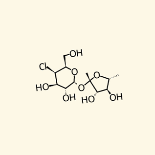 C[C@H]1O[C@@](C)(O[C@H]2O[C@H](CO)[C@H](Cl)[C@H](O)[C@H]2O)[C@@H](O)[C@@H]1O